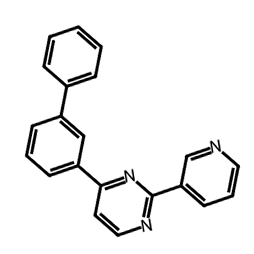 c1ccc(-c2cccc(-c3ccnc(-c4cccnc4)n3)c2)cc1